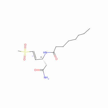 CCCCCCCC(=O)N[C@@H](/C=C/S(C)(=O)=O)CC(N)=O